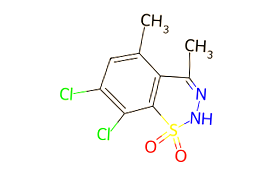 CC1=NNS(=O)(=O)c2c(Cl)c(Cl)cc(C)c21